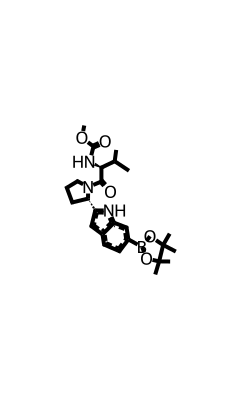 COC(=O)N[C@H](C(=O)N1CCC[C@H]1c1cc2ccc(B3OC(C)(C)C(C)(C)O3)cc2[nH]1)C(C)C